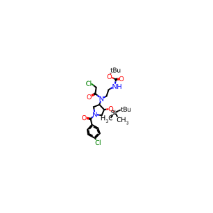 CC(C)(C)OC(=O)NCCN(C(=O)CCl)C1CN(C(=O)c2ccc(Cl)cc2)CC1O[Si](C)(C)C(C)(C)C